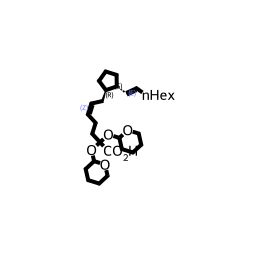 CCCCCC/C=C/[C@H]1CCC[C@@H]1C/C=C\CCC(OC1CCCCO1)(OC1CCCCO1)C(=O)O